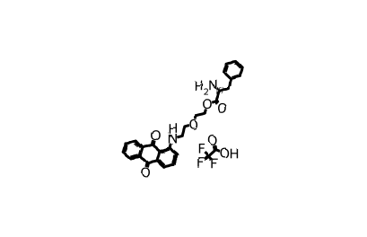 N[C@@H](Cc1ccccc1)C(=O)OCCOCCNc1cccc2c1C(=O)c1ccccc1C2=O.O=C(O)C(F)(F)F